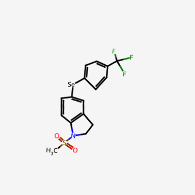 CS(=O)(=O)N1CCc2cc([Se]c3ccc(C(F)(F)F)cc3)ccc21